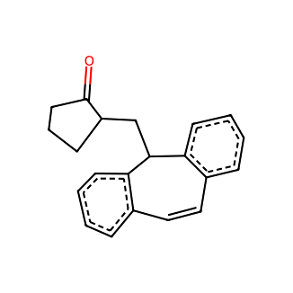 O=C1CCCC1CC1c2ccccc2C=Cc2ccccc21